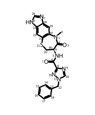 CN1C(=O)[C@@H](NC(=O)c2ncn(Cc3ccccc3)n2)CSc2cc3[nH]cnc3cc21